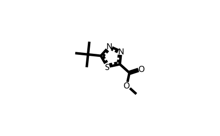 COC(=O)c1nnc(C(C)(C)C)s1